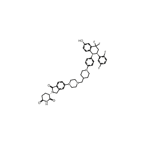 O=C1CC[C@H](N2Cc3cc(N4CCN(CC5CCN(c6ccc([C@H]7c8ccc(O)cc8C(F)(F)C[C@H]7c7cc(F)ccc7F)cc6)CC5)CC4)ccc3C2=O)C(=O)N1